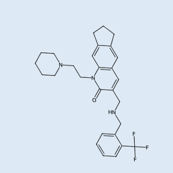 O=c1c(CNCc2ccccc2C(F)(F)F)cc2cc3c(cc2n1CCN1CCCCC1)CCC3